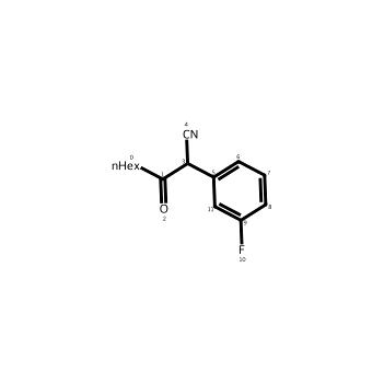 CCCCCCC(=O)C(C#N)c1cccc(F)c1